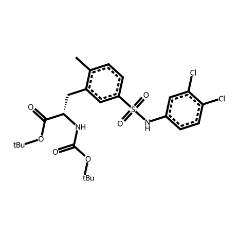 Cc1ccc(S(=O)(=O)Nc2ccc(Cl)c(Cl)c2)cc1C[C@H](NC(=O)OC(C)(C)C)C(=O)OC(C)(C)C